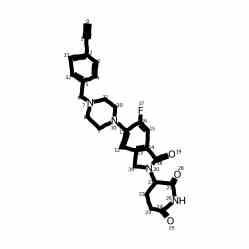 C#Cc1ccc(CN2CCN(c3cc4c(cc3F)C(=O)N(C3CCC(=O)NC3=O)C4)CC2)cc1